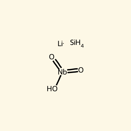 [Li].[O]=[Nb](=[O])[OH].[SiH4]